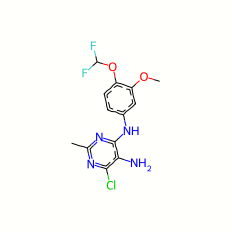 COc1cc(Nc2nc(C)nc(Cl)c2N)ccc1OC(F)F